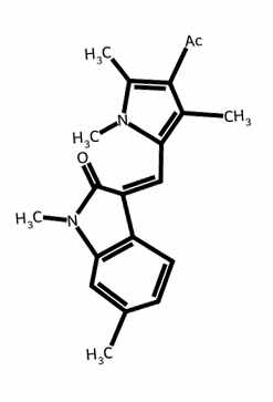 CC(=O)c1c(C)c(/C=C2\C(=O)N(C)c3cc(C)ccc32)n(C)c1C